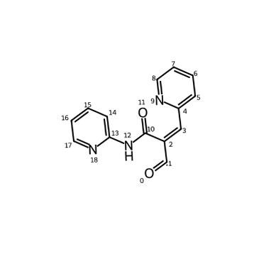 O=[C]C(=Cc1ccccn1)C(=O)Nc1ccccn1